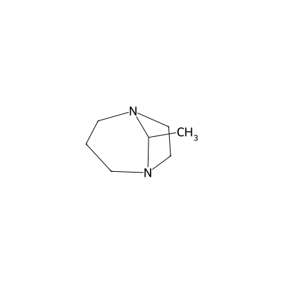 CC1N2CCCN1CC2